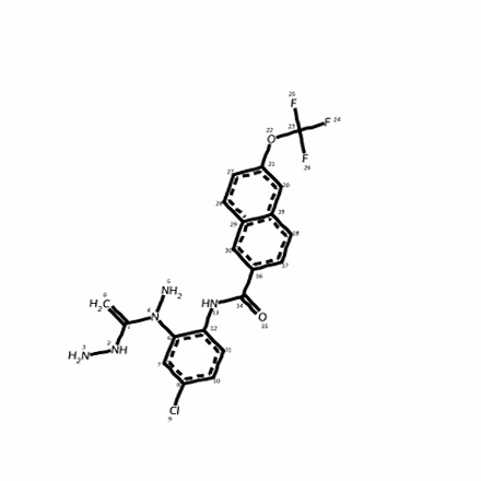 C=C(NN)N(N)c1cc(Cl)ccc1NC(=O)c1ccc2cc(OC(F)(F)F)ccc2c1